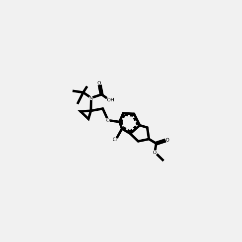 COC(=O)C1Cc2ccc(OCC3(N(C(=O)O)C(C)(C)C)CC3)c(Cl)c2C1